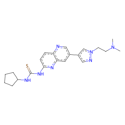 CN(C)CCn1cc(-c2cnc3ccc(NC(=S)NC4CCCC4)nc3c2)cn1